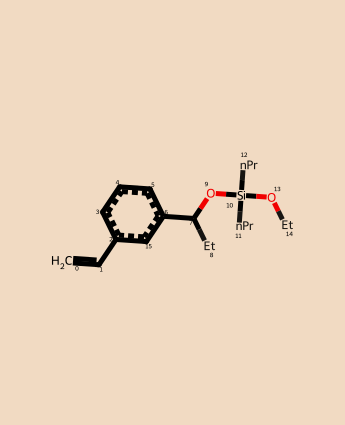 C=Cc1cccc(C(CC)O[Si](CCC)(CCC)OCC)c1